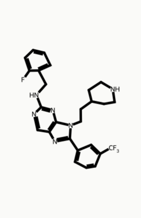 Fc1ccccc1CNc1ncc2nc(-c3cccc(C(F)(F)F)c3)n(CCC3CCNCC3)c2n1